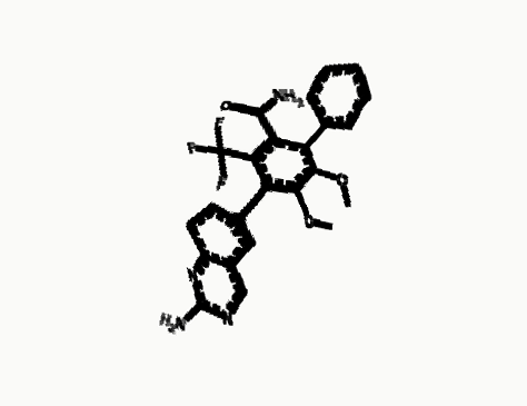 COc1c(OC)c(-c2ccc3nc(N)ncc3c2)c(C(F)(F)F)c(C(N)=O)c1-c1ccccc1